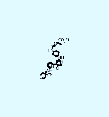 CCOC(=O)[C@H](C)OC[C@@H](C)NC1CCC(Nc2cc(-c3cccc(NCC4(C#N)CCOCC4)n3)c(Cl)cn2)CC1